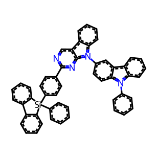 c1ccc(-n2c3ccccc3c3cc(-n4c5ccccc5c5cnc(-c6ccc([Si]7(c8ccccc8)c8ccccc8-c8ccccc87)cc6)nc54)ccc32)cc1